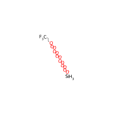 FC(F)(F)CCOOOOOOOOOOOOO[SiH3]